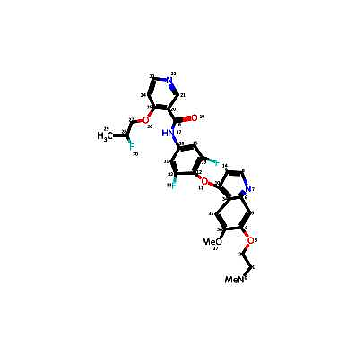 CNCCOc1cc2nccc(Oc3c(F)cc(NC(=O)c4cnccc4OCC(C)F)cc3F)c2cc1OC